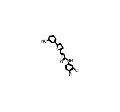 N#Cc1cccc(-c2ccc(/C=C/C(=O)Nc3ccc(Cl)c(Cl)c3)s2)c1